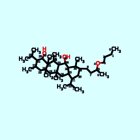 CCCCOC(C)CCC1CC(C(C)C)C2CC3(C)CC4(C)CC(C)C(C(C)C)C(O)C4(C)C(C)C3C(O)C2C1C